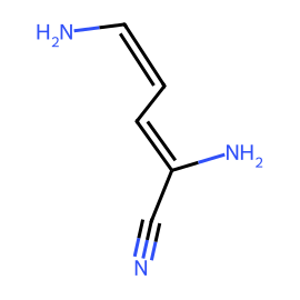 N#C/C(N)=C/C=C\N